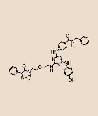 NC(C(=O)NCCOCCNc1nc(Nc2ccc(O)cc2)nc(Nc2ccc(C(=O)NCc3ccccc3)cc2)n1)c1ccccc1